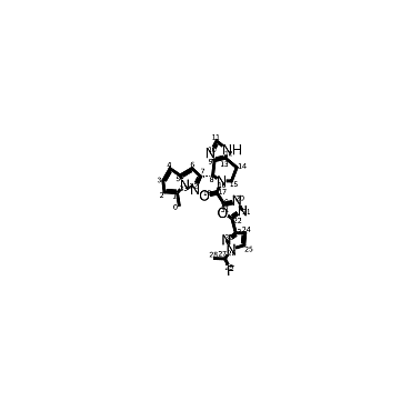 Cc1cccc2cc([C@@H]3c4nc[nH]c4CCN3C(=O)c3nnc(-c4ccn(C(C)F)n4)o3)nn12